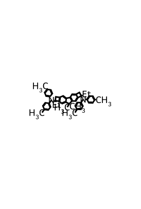 CCC1(N(c2ccc(C)cc2)c2ccc(C)cc2)Cc2cc3c(cc21)C(C)(C)c1cc2c(cc1-3)CC2(CC)N(c1ccc(C)cc1)c1ccc(C)cc1